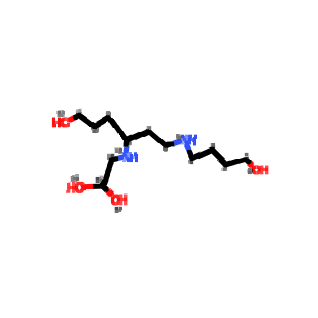 OCCCCNCCC(CCCO)NCC(O)O